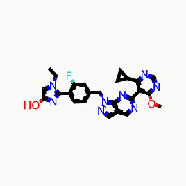 CCn1cc(O)nc1-c1ccc(Cn2ncc3cnc(-c4c(OC)ncnc4C4CC4)nc32)cc1F